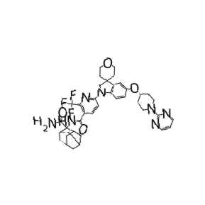 NC(=O)C1(NC(=O)c2ccc(N3CC4(CCOCC4)c4cc(OC5CCN(c6ncccn6)CC5)ccc43)nc2C(F)(F)F)C2CC3CC(C2)CC1C3